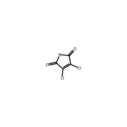 O=C1[N]C(=O)C(Cl)=C1Cl